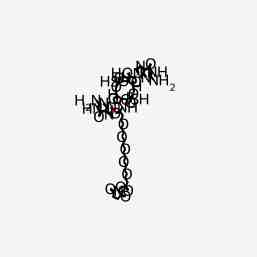 Nc1nc2c(ncn2[C@@H]2O[C@@H]3COP(=O)(S)OC4[C@@H](COP(=O)(S)O[C@@H]3C2O)O[C@@H](n2cnc3c(=O)[nH]c(N)nc32)[C@H]4NC(=O)CCOCCOCCOCCOCCOCCC(=O)ON2C(=O)CCC2=O)c(=O)[nH]1